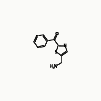 NCc1cnc(C(=O)c2ccccc2)s1